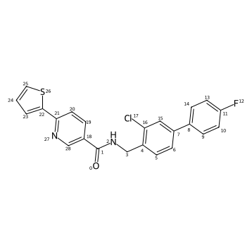 O=C(NCc1ccc(-c2ccc(F)cc2)cc1Cl)c1ccc(-c2cccs2)nc1